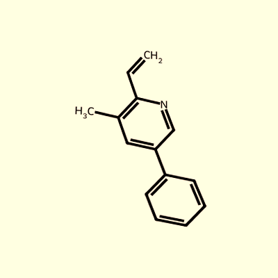 C=Cc1ncc(-c2ccccc2)cc1C